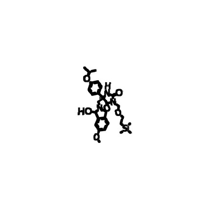 COc1ccc2c(c1)C(O)N(C[C@@]1(c3ccc(OC(C)C)cc3)NC(=O)N(COCC[Si](C)(C)C)C1=O)C2